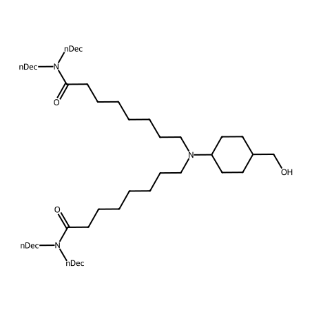 CCCCCCCCCCN(CCCCCCCCCC)C(=O)CCCCCCCN(CCCCCCCC(=O)N(CCCCCCCCCC)CCCCCCCCCC)C1CCC(CO)CC1